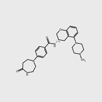 CN1CCN(c2cccc3c2C[C@H](NC(=O)c2ccc(N4CCNC(=O)CC4)cc2)CO3)CC1